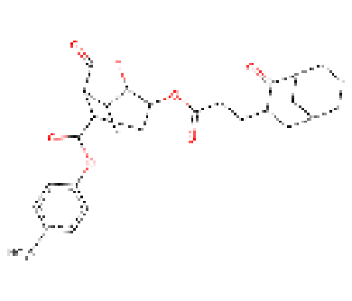 O=C(CCC1CC2CCCC(C2)C1=O)OC1C2CC3C1OC(=O)C3C2C(=O)Oc1ccc(S(=O)(=O)O)cc1